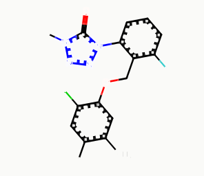 Cc1cc(Cl)c(OCc2c(F)cccc2-n2nnn(C)c2=O)cc1C